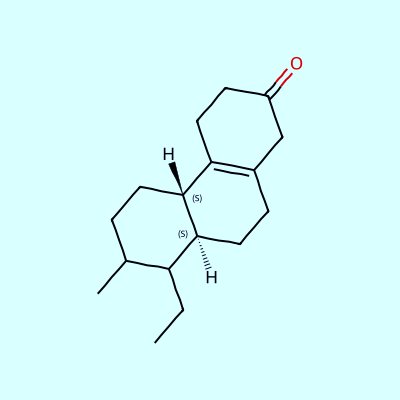 CCC1C(C)CC[C@@H]2C3=C(CC[C@@H]12)CC(=O)CC3